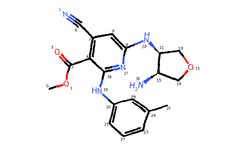 COC(=O)c1c(C#N)cc(N[C@H]2COC[C@H]2N)nc1Nc1cccc(C)c1